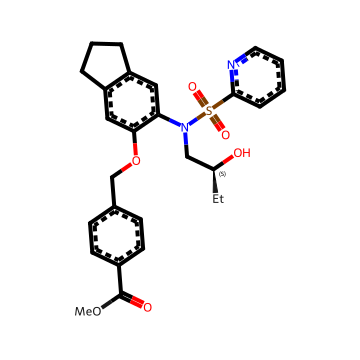 CC[C@H](O)CN(c1cc2c(cc1OCc1ccc(C(=O)OC)cc1)CCC2)S(=O)(=O)c1ccccn1